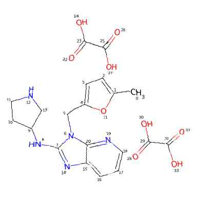 Cc1ccc(Cn2c(NC3CCNC3)nc3cccnc32)o1.O=C(O)C(=O)O.O=C(O)C(=O)O